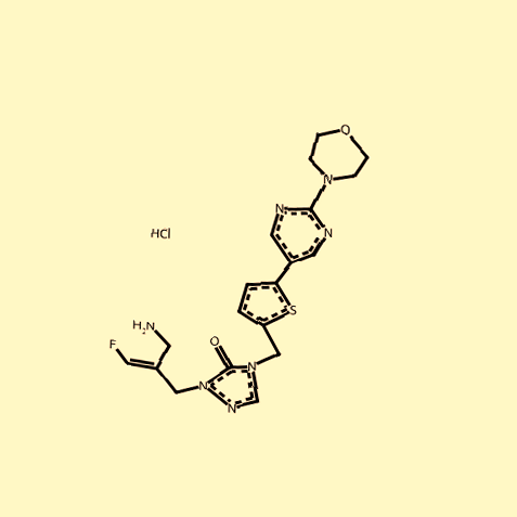 Cl.NC/C(=C\F)Cn1ncn(Cc2ccc(-c3cnc(N4CCOCC4)nc3)s2)c1=O